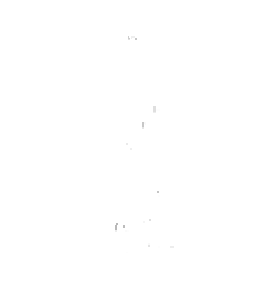 CCOC(=O)C(C)(C)Oc1ccc(CNC(=O)c2cc(-c3ccc(C(C)(C)C)cc3)[nH]n2)cc1C